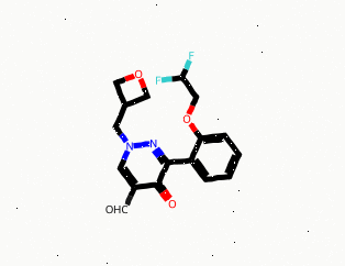 O=Cc1cn(CC2COC2)nc(-c2ccccc2OCC(F)F)c1=O